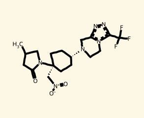 CC1CC(=O)N([C@]2(C[N+](=O)[O-])CC[C@@H](N3CCn4c(nnc4C(F)(F)F)C3)CC2)C1